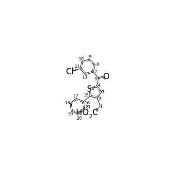 O=C(O)Cc1cc(C(=O)c2cccc(Cl)c2)sc1-c1ccccc1